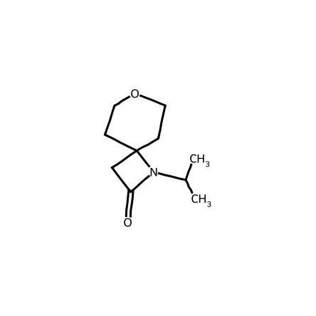 CC(C)N1C(=O)CC12CCOCC2